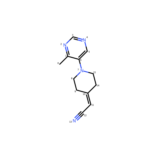 Cc1ncncc1N1CCC(=CC#N)CC1